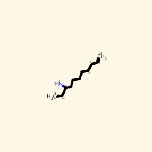 C=CCCCCCCC([NH])CC